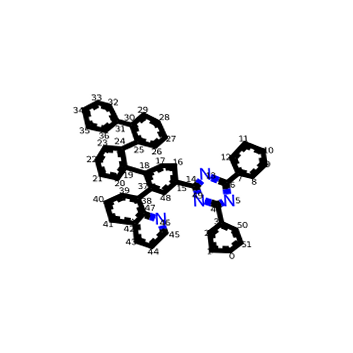 c1ccc(-c2nc(-c3ccccc3)nc(-c3ccc(-c4ccccc4-c4ccccc4-c4ccccc4)c(-c4cccc5cccnc45)c3)n2)cc1